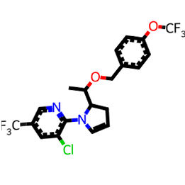 CC(OCc1ccc(OC(F)(F)F)cc1)C1CC=CN1c1ncc(C(F)(F)F)cc1Cl